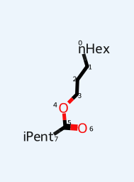 CCCCCCCCCOC(=O)C(C)CCC